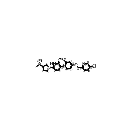 CCN(C)C1CCN(c2ccc(-n3ccc(OCc4ccc(Cl)cn4)cc3=O)c(=O)[nH]2)C1